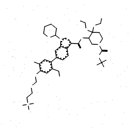 CCOC1(OCC)CCN(C(=O)OC(C)(C)C)CC1NC(=N)c1nn(C2CCCCO2)c2cc(-c3cc(F)c(OCOCC[Si](C)(C)C)cc3CC)ccc12